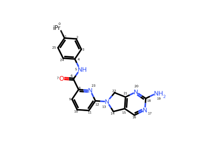 CC(C)c1ccc(NC(=O)c2cccc(N3Cc4cnc(N)nc4C3)n2)cc1